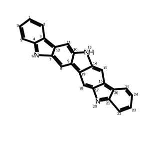 c1ccc2c(c1)=Nc1cc3c(cc1=2)[nH]c1cc2c(cc13)N=c1ccccc1=2